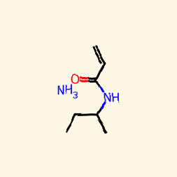 C=CC(=O)NC(C)CC.N